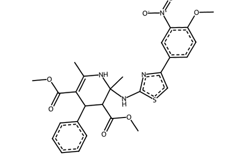 COC(=O)C1=C(C)NC(C)(Nc2nc(-c3ccc(OC)c([N+](=O)[O-])c3)cs2)C(C(=O)OC)C1c1ccccc1